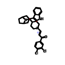 O=C(/C=C/N1CCC(CN2C3CCC2CC(c2c[nH]c4ccccc24)C3)CC1)c1ccc(Cl)c(Cl)c1